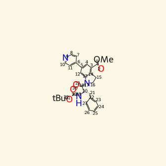 COC(=O)c1cc(-c2ccncc2)cc2c1CCN2C(=O)[C@H](Cc1ccccc1)NC(=O)OC(C)(C)C